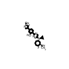 CN[C@H]1C[C@@H](N(c2cnc(-c3ccc(-c4cnn(C)c4)cc3O)nn2)C2CC2)CCC[C@H]1F